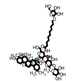 CC1O[C@@H](OC2C(O)[C@@H](NC(=O)CCCCCCCCCCO[C@@H]3O[C@@H](CO)C(O)C3O)C(CO)O[C@H]2OC(=O)[C@]23CCC(C)(C)CC2C2=CCC4C5(C)CC[C@H](O)[C@](C)(C=O)[C@@H]5CCC4(C)[C@]2(C)CC3O)C(O)C(O)[C@H]1O[C@@H]1OC[C@@H](O)C(O)C1O